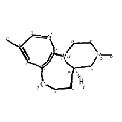 Cc1cnc2c(c1)OCC[C@@H]1CN(C)CCN21